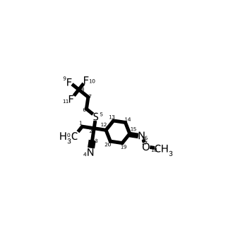 CCC(C#N)(SCCC(F)(F)F)C1CCC(=NOC)CC1